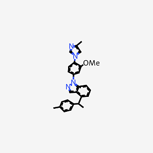 COc1cc(-n2ncc3c(C(C)c4ccc(C)cc4)cccc32)ccc1-n1cnc(C)c1